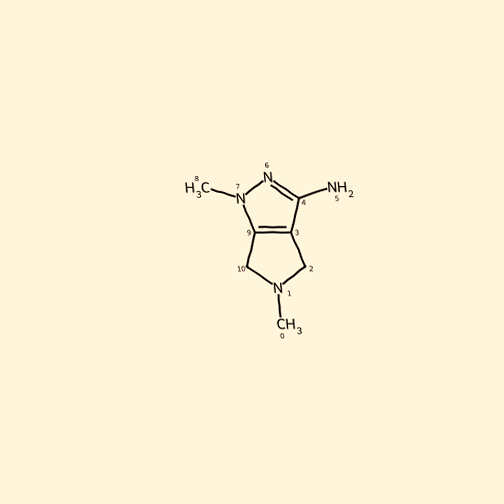 CN1Cc2c(N)nn(C)c2C1